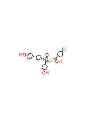 O=C1[C@H](SC[C@H](O)c2ccc(Cl)cc2)[C@@H](c2ccc(O)cc2)N1c1ccc(-c2ccc(O)nc2)cc1